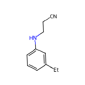 CCc1cccc(NCCC#N)c1